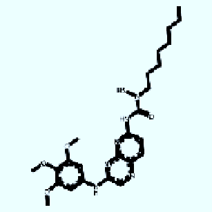 CCCCCCCCN(S)C(=O)Nc1ccc2ncc(Nc3cc(OC)c(OC)c(OC)c3)nc2n1